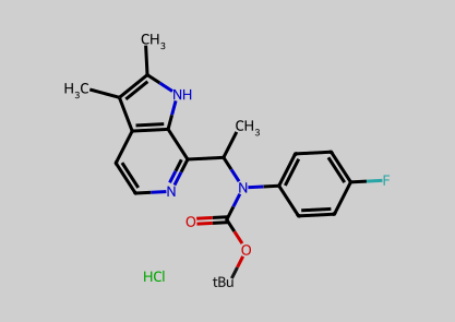 Cc1[nH]c2c(C(C)N(C(=O)OC(C)(C)C)c3ccc(F)cc3)nccc2c1C.Cl